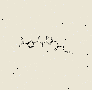 CCOC(=O)Cc1csc(NC(=O)c2ccc([N+](=O)[O-])o2)n1